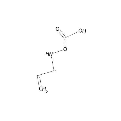 C=C[CH]NOC(=O)O